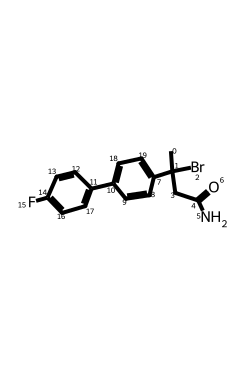 CC(Br)(CC(N)=O)c1ccc(-c2ccc(F)cc2)cc1